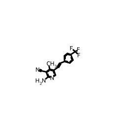 Cc1c(C#Cc2ccc(C(F)(F)F)cc2)cnc(N)c1C#N